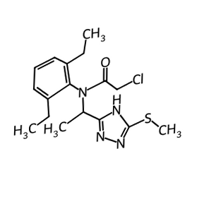 CCc1cccc(CC)c1N(C(=O)CCl)C(C)c1nnc(SC)[nH]1